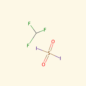 FC(F)F.O=S(=O)(I)I